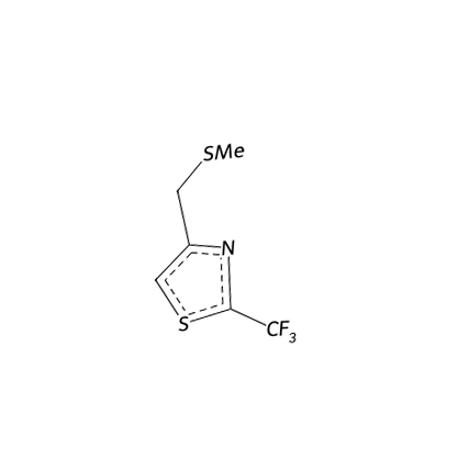 CSCc1csc(C(F)(F)F)n1